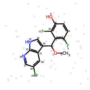 COC(c1c(F)ccc(O)c1F)c1c[nH]c2ncc(Br)cc12